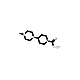 CCOC(=O)C(=O)N1CCC(N2CCN(C)CC2)CC1